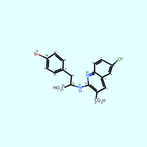 O=C(O)c1cc2cc(Cl)ccc2nc1NC(Cc1ccc(Br)cc1)C(=O)O